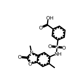 Cc1cc2oc(=O)n(C)c2cc1NS(=O)(=O)c1cccc(C(=O)O)c1